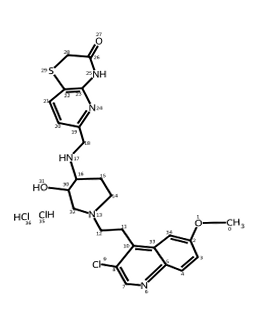 COc1ccc2ncc(Cl)c(CCN3CCC(NCc4ccc5c(n4)NC(=O)CS5)C(O)C3)c2c1.Cl.Cl